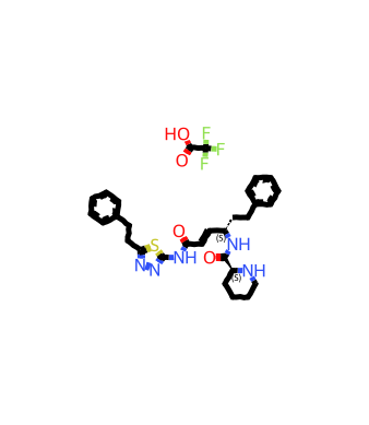 O=C(C=C[C@H](CCc1ccccc1)NC(=O)[C@@H]1CCCCN1)Nc1nnc(CCc2ccccc2)s1.O=C(O)C(F)(F)F